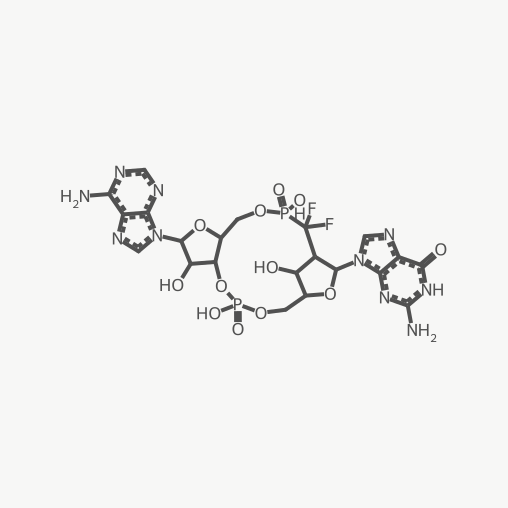 Nc1nc2c(ncn2C2OC3COP(=O)(O)OC4C(COP(=O)(O)C(F)(F)C2C3O)OC(n2cnc3c(N)ncnc32)C4O)c(=O)[nH]1